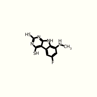 CNc1cc(F)cc2c1[nH]c1nc(S)nc(S)c12